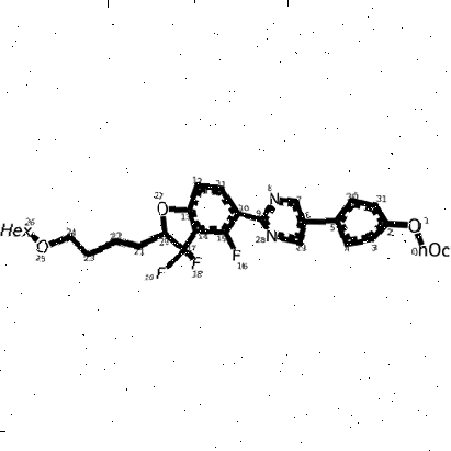 CCCCCCCCOc1ccc(-c2cnc(-c3ccc4c(c3F)C(F)(F)C(CCCCOCCCCCC)O4)nc2)cc1